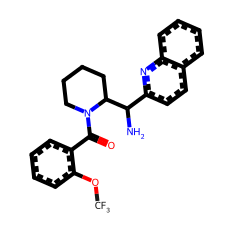 NC(c1ccc2ccccc2n1)C1CCCCN1C(=O)c1ccccc1OC(F)(F)F